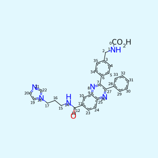 O=C(O)NCc1ccc(-c2nc3cc(C(=O)NCCCn4ccnc4)ccc3nc2-c2ccccc2)cc1